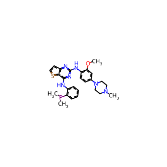 COc1cc(N2CCN(C)CC2)ccc1Nc1nc(Nc2ccccc2P(C)C)c2sccc2n1